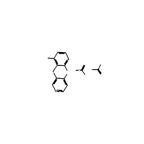 NC(=S)S.O=C(O)c1cccc2c1Cc1ccccc1O2.S=C(S)S